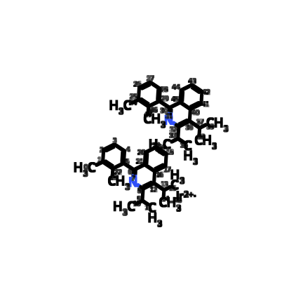 Cc1cccc(-c2nc(C(C)C)c(C(C)C)c3ccccc23)c1C.Cc1cccc(-c2nc(C(C)C)c(C(C)C)c3ccccc23)c1C.[Ir+2]